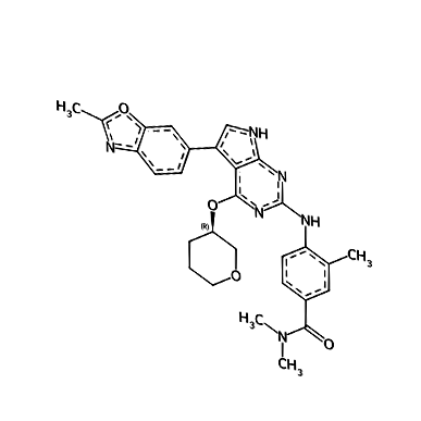 Cc1nc2ccc(-c3c[nH]c4nc(Nc5ccc(C(=O)N(C)C)cc5C)nc(O[C@@H]5CCCOC5)c34)cc2o1